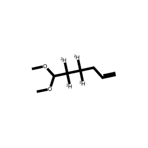 [2H]C([2H])(CC=C)C([2H])([2H])C(OC)OC